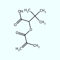 C=C(C)C(=O)OC(C(=O)O)C(C)(C)C